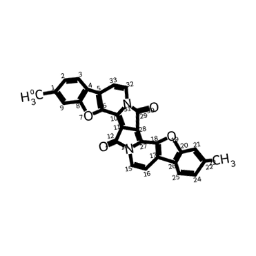 Cc1ccc2c3c(oc2c1)C1=C2C(=O)N4C=Cc5c(oc6cc(C)ccc56)C4=C2C(=O)N1C=C3